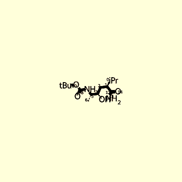 CC(C)[C@H](C[C@H](O)[C@H](C)NC(=O)OC(C)(C)C)C(N)=O